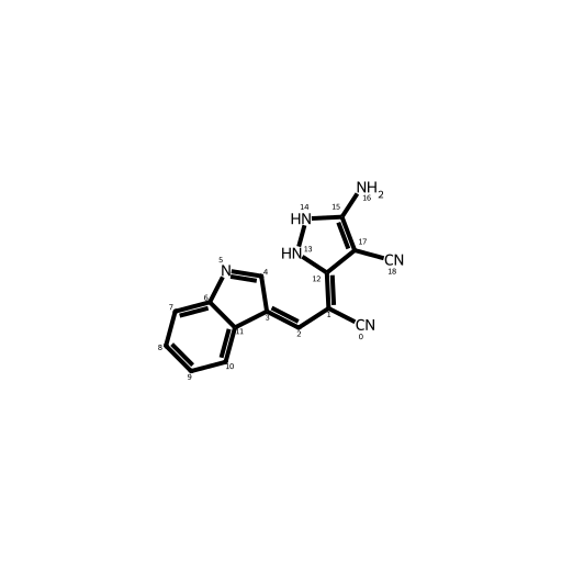 N#CC(C=C1C=Nc2ccccc21)=C1NNC(N)=C1C#N